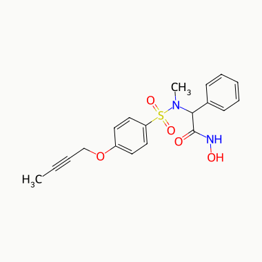 CC#CCOc1ccc(S(=O)(=O)N(C)C(C(=O)NO)c2ccccc2)cc1